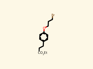 CCOC(=O)CCc1ccc(OCCCBr)cc1